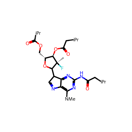 CNc1nc(NC(=O)CC(C)C)nc2c1N=CC2C1O[C@H](COC(=O)C(C)C)[C@@H](OC(=O)CC(C)C)[C@@]1(C)F